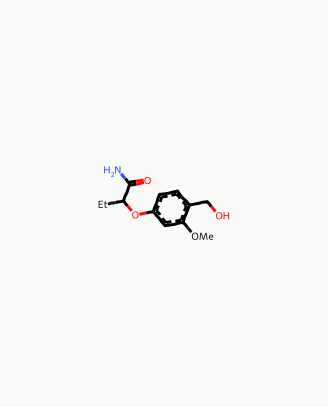 CCC(Oc1ccc(CO)c(OC)c1)C(N)=O